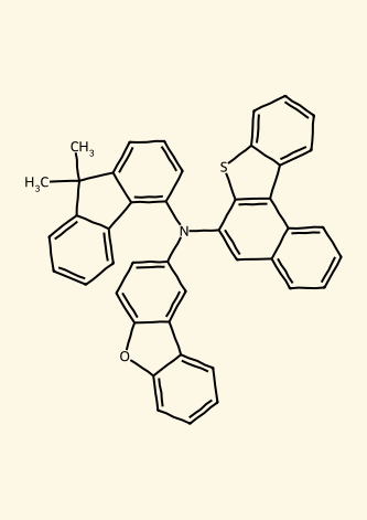 CC1(C)c2ccccc2-c2c(N(c3ccc4oc5ccccc5c4c3)c3cc4ccccc4c4c3sc3ccccc34)cccc21